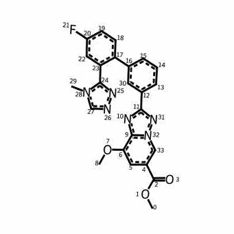 COC(=O)c1cc(OC)c2nc(-c3cccc(-c4ccc(F)cc4-c4nncn4C)c3)nn2c1